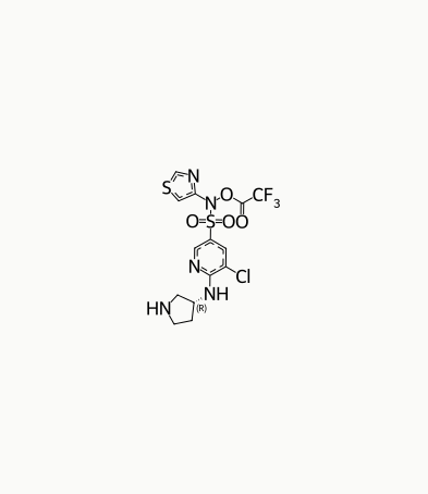 O=C(ON(c1cscn1)S(=O)(=O)c1cnc(N[C@@H]2CCNC2)c(Cl)c1)C(F)(F)F